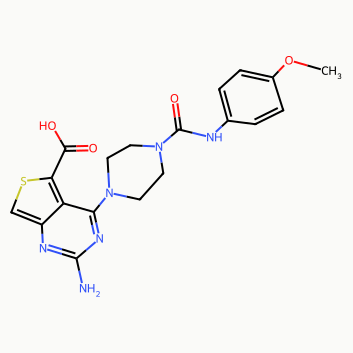 COc1ccc(NC(=O)N2CCN(c3nc(N)nc4csc(C(=O)O)c34)CC2)cc1